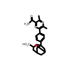 Cc1nc(C)c(-c2ccc(C34CC5CC(CC(C(=O)O)(C5)C3)C4)cc2)nc1C(N)=O